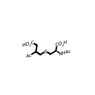 CC(=O)N[C@@H](CSCC(CC(=O)O)C(C)=O)C(=O)O